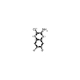 Nc1nc2cc(F)c(F)cc2nc1Cl